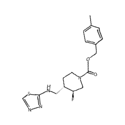 Cc1ccc(COC(=O)N2CC[C@@H](CNc3nncs3)[C@H](F)C2)cc1